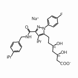 CC(C)c1ccc(CNC(=O)c2nn(-c3ccc(F)cc3)c(CC[C@@H](O)C[C@@H](O)CC(=O)[O-])c2C(C)C)cc1.[Na+]